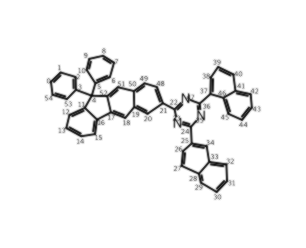 c1ccc(C2(c3ccccc3)c3ccccc3-c3cc4cc(-c5nc(-c6ccc7ccccc7c6)nc(-c6cccc7ccccc67)n5)ccc4cc32)cc1